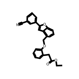 CCOC(=O)Cc1ccccc1OCc1cccc2oc(-c3cccc(C#N)c3)cc12